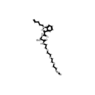 C=CCCCn1nc(C(=O)N[C@H](C(=O)NCCOCCOCCOCCN=[N+]=[N-])C(C)(C)C)c2ccccc21